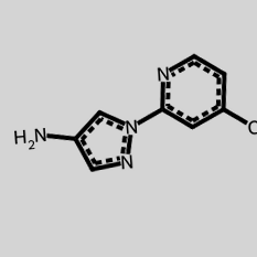 Nc1cnn(-c2cc(Cl)ccn2)c1